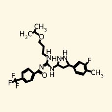 Cc1ccc(C2CC(N/C(=N\C(=O)c3ccc(C(F)(F)F)cc3)NCCCOC(C)C)NN2)cc1F